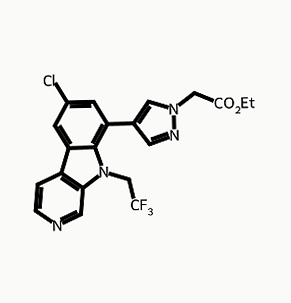 CCOC(=O)Cn1cc(-c2cc(Cl)cc3c4ccncc4n(CC(F)(F)F)c23)cn1